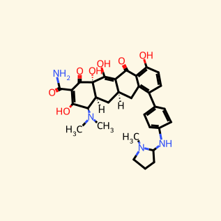 CN1CCCC1Nc1ccc(-c2ccc(O)c3c2C[C@H]2C[C@H]4[C@@H](N(C)C)C(O)=C(C(N)=O)C(=O)[C@@]4(O)C(O)=C2C3=O)cc1